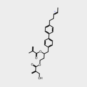 C=C(C)C(=O)OC(CCOC(=O)C(=C)CO)Cc1ccc(-c2ccc(CC/C=C/C)cc2)cc1